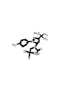 Cc1ccc(-n2nc(C(C)(C)C)cc2N(CC(Cl)(Cl)Cl)C(=O)O)cc1